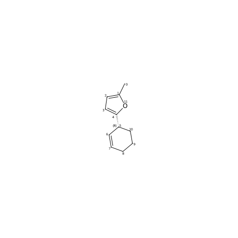 Cc1ccc([C@H]2C=CCCC2)o1